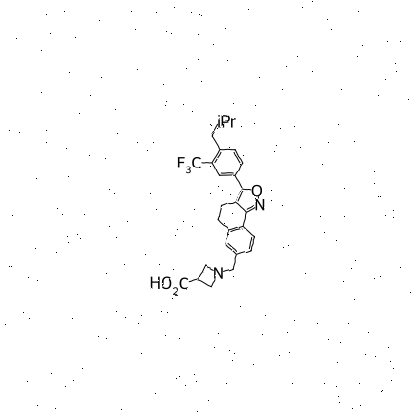 CC(C)Cc1ccc(-c2onc3c2CCc2cc(CN4CC(C(=O)O)C4)ccc2-3)cc1C(F)(F)F